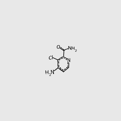 NC(=O)c1nccc(N)c1Cl